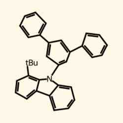 CC(C)(C)c1cccc2c3ccccc3n(-c3cc(-c4ccccc4)cc(-c4ccccc4)c3)c12